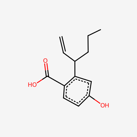 C=CC(CCC)c1cc(O)ccc1C(=O)O